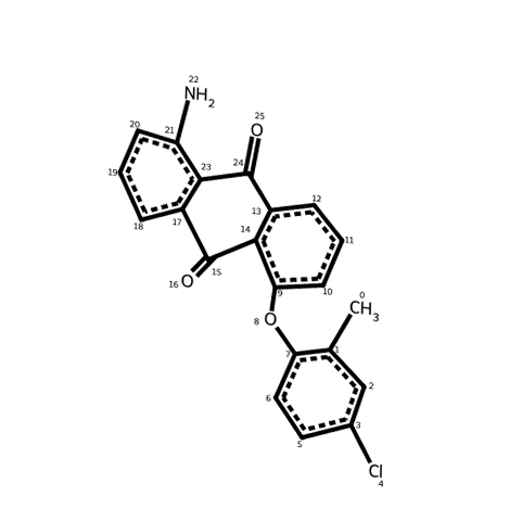 Cc1cc(Cl)ccc1Oc1cccc2c1C(=O)c1cccc(N)c1C2=O